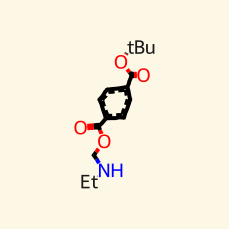 CCNCOC(=O)c1ccc(C(=O)OC(C)(C)C)cc1